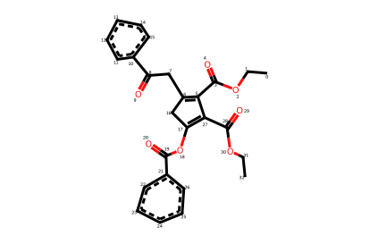 CCOC(=O)C1=C(CC(=O)c2ccccc2)CC(OC(=O)c2ccccc2)=C1C(=O)OCC